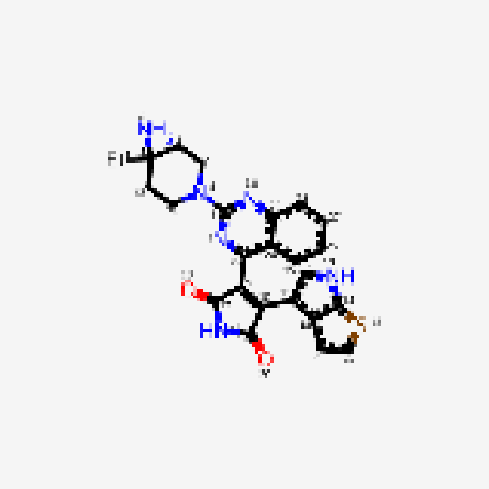 CCC1(N)CCN(c2nc(C3=C(c4c[nH]c5sccc45)C(=O)NC3=O)c3ccccc3n2)CC1